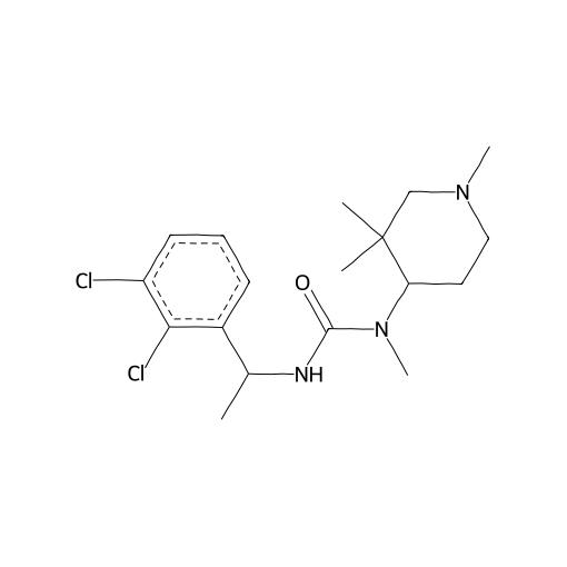 CC(NC(=O)N(C)C1CCN(C)CC1(C)C)c1cccc(Cl)c1Cl